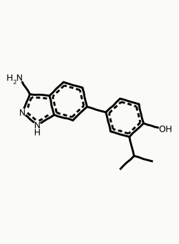 CC(C)c1cc(-c2ccc3c(N)n[nH]c3c2)ccc1O